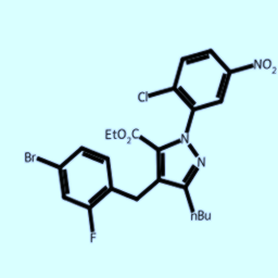 CCCCc1nn(-c2cc([N+](=O)[O-])ccc2Cl)c(C(=O)OCC)c1Cc1ccc(Br)cc1F